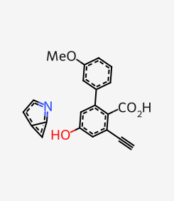 C#Cc1cc(O)cc(-c2cccc(OC)c2)c1C(=O)O.c1cc2cc-2n1